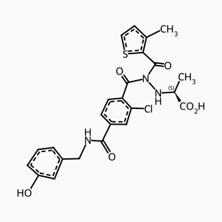 Cc1ccsc1C(=O)N(N[C@@H](C)C(=O)O)C(=O)c1ccc(C(=O)NCc2cccc(O)c2)cc1Cl